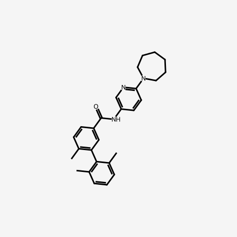 Cc1ccc(C(=O)Nc2ccc(N3CCCCCC3)nc2)cc1-c1c(C)cccc1C